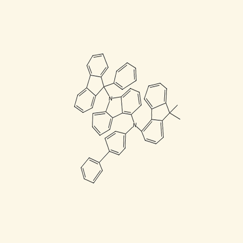 CC1(C)c2ccccc2-c2c(N(c3ccc(-c4ccccc4)cc3)c3cccc4c3c3ccccc3n4C3(c4ccccc4)c4ccccc4-c4ccccc43)cccc21